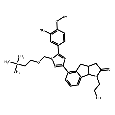 CC(C)Oc1ccc(-c2nc(-c3cccc4c3CC3CC(=O)N(CCO)C43)nn2COCC[Si](C)(C)C)cc1C#N